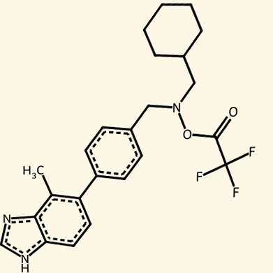 Cc1c(-c2ccc(CN(CC3CCCCC3)OC(=O)C(F)(F)F)cc2)ccc2[nH]cnc12